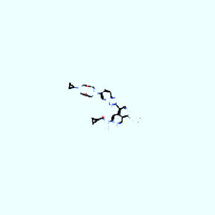 CNc1ncc(-c2nc3ccc(N4CC5CN(C6CC6)CC(C4)O5)cn3n2)c2cc(NC(=O)C3CC3)ncc12